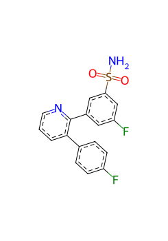 NS(=O)(=O)c1cc(F)cc(-c2ncccc2-c2ccc(F)cc2)c1